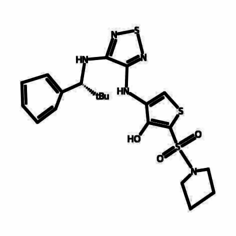 CC(C)(C)[C@@H](Nc1nsnc1Nc1csc(S(=O)(=O)N2CCCC2)c1O)c1ccccc1